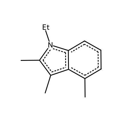 CCn1c(C)c(C)c2c(C)cccc21